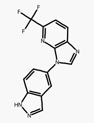 FC(F)(F)c1ccc2ncn(-c3ccc4[nH]ncc4c3)c2n1